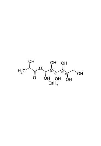 CC(O)C(=O)OC(O)[C@@H](O)[C@@H](O)[C@H](O)[C@H](O)CO.[CaH2]